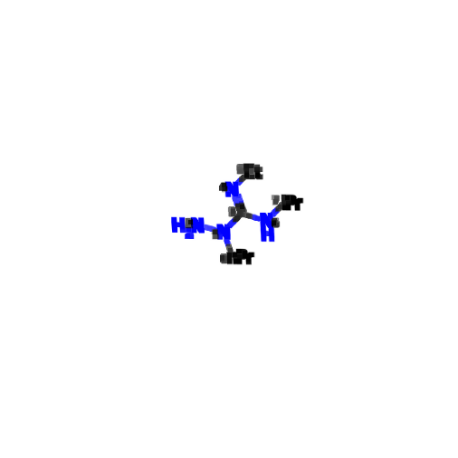 CCCN(N)C(=NCC)NC(C)C